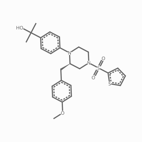 COc1ccc(C[C@@H]2CN(S(=O)(=O)c3cccs3)CCN2c2ccc(C(C)(C)O)cc2)cc1